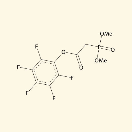 COP(=O)(CC(=O)Oc1c(F)c(F)c(F)c(F)c1F)OC